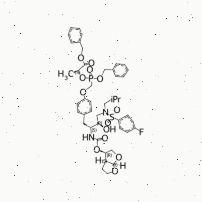 CC(C)CN(C[C@@H](O)[C@H](Cc1ccc(OCP(=O)(OCc2ccccc2)O[C@@H](C)C(=O)OCc2ccccc2)cc1)NC(=O)O[C@H]1CO[C@H]2OCC[C@H]21)S(=O)(=O)c1ccc(F)cc1